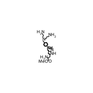 COC(=O)C(N)CC1=CC(=C/Nc2ccc(CN(CCCN)CCCN)cc2)/C(=N\C(C)=O)N1